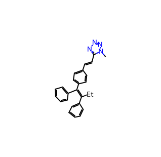 CCC(=C(c1ccccc1)c1ccc(C=Cc2nnnn2C)cc1)c1ccccc1